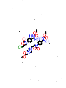 CCOC(=O)CN1CCN(CC2CN(c3ccc(C(=N)NC(=O)OCC)cc3)C(=O)O2)CC1.CCOC(=O)NC(=N)c1ccc(N2CC(CCl)OC2=O)cc1